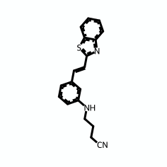 N#CCCCNc1cccc(C=Cc2nc3ccccc3s2)c1